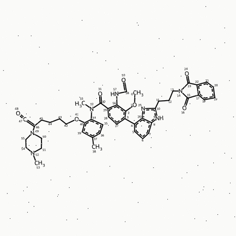 COc1c(-c2cccc3[nH]c(CCCN4C(=O)c5ccccc5C4=O)nc23)ccc(C(=O)N(C)c2ccc(C)cc2OCCCCC(=C=O)N2CCN(C)CC2)c1NC=O